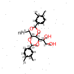 CCCC1OC(c2ccc(C)c(C)c2)OC2C(C(O)CO)OC(c3ccc(C)c(C)c3)OC12